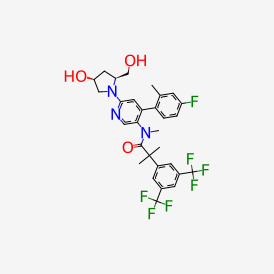 Cc1cc(F)ccc1-c1cc(N2C[C@@H](O)C[C@H]2CO)ncc1N(C)C(=O)C(C)(C)c1cc(C(F)(F)F)cc(C(F)(F)F)c1